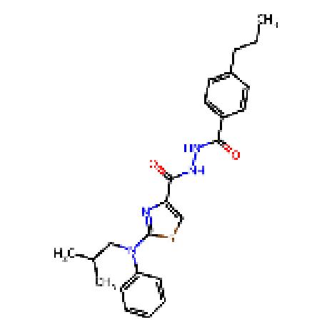 CCCc1ccc(C(=O)NNC(=O)c2csc(N(CC(C)C)c3ccccc3)n2)cc1